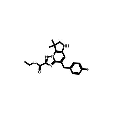 CCOC(=O)c1nc2c(Cc3ccc(F)cc3)cc3c(n2n1)C(C)(C)CN3